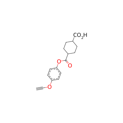 C#COc1ccc(OC(=O)C2CCC(C(=O)O)CC2)cc1